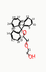 OCCOCCOC(c1ccccc1)(c1ccccc1)c1ccccc1